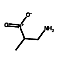 CC(CN)[N+](=O)[O-]